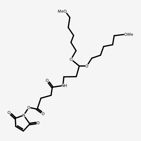 COCCCCCOC(CCNC(=O)CCC(=O)ON1C(=O)C=CC1=O)OCCCCCOC